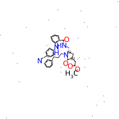 COC(=O)C[C@@H]1C[C@@H](CNC(=O)c2ccccc2Nc2ccc(C#N)cc2)N(CCCc2ccccc2)C1=O